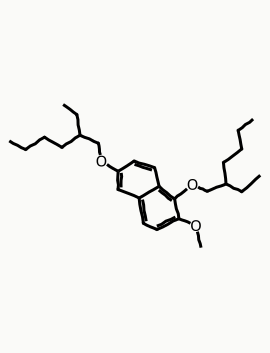 CCCCC(CC)COc1ccc2c(OCC(CC)CCCC)c(OC)ccc2c1